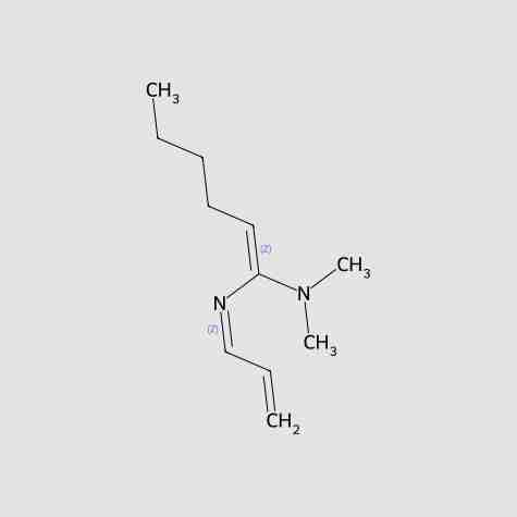 C=C/C=N\C(=C/CCCC)N(C)C